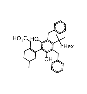 CCCCCCC(C)(C)c1c(Cc2ccccc2)c(O)c(C2=C(CC(=O)O)CCC(C)C2)c(O)c1Cc1ccccc1